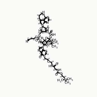 CC(C)(C)[Si](C)(C)CO[C@H]1[C@H]2OP(=O)(OCCC#N)OC[C@H]3O[C@@H](n4cc5c6c(ncnc64)NCCC5)[C@H](F)[C@@H]3OP(=O)(S)OC[C@H]1O[C@H]2n1cnc2c(=O)n(CCOCNC(=O)CNC(=O)OCC[Si](C)(C)C)cnc21